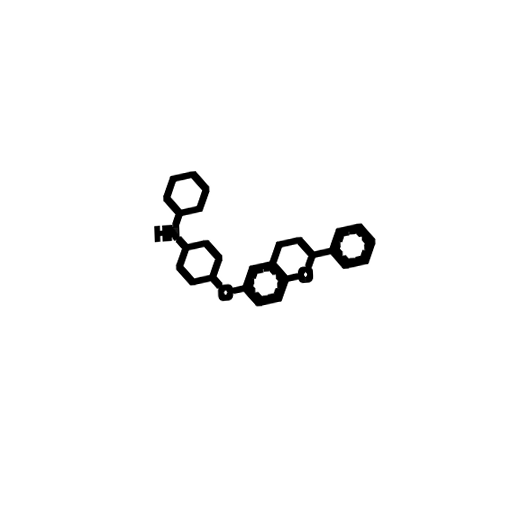 c1ccc(C2CCc3cc(OC4CCC(NC5CCCCC5)CC4)ccc3O2)cc1